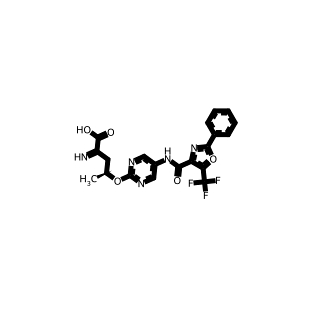 C[C@@H](CC(=N)C(=O)O)Oc1ncc(NC(=O)c2nc(-c3ccccc3)oc2C(F)(F)F)cn1